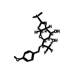 COc1ccc(CC[C@H]([C@H]2O[C@@H]3SC(N(C)C)=N[C@@H]3[C@@H](O)[C@@H]2O)C(F)(F)F)cc1